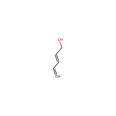 [CH]=CC=CCO